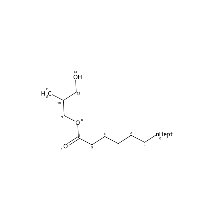 CCCCCCCCCCCCC(=O)OCC(C)CO